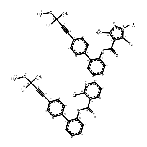 COC(C)(C)C#Cc1ccc(-c2ccccc2NC(=O)c2c(C)nn(C)c2F)cc1.COC(C)(C)C#Cc1ccc(-c2ccccc2NC(=O)c2cccnc2Cl)cc1